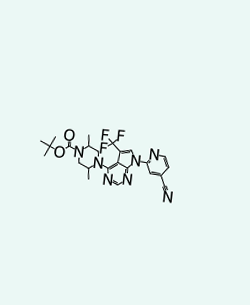 CC1CN(c2ncnc3c2c(C(F)(F)F)cn3-c2cc(C#N)ccn2)C(C)CN1C(=O)OC(C)(C)C